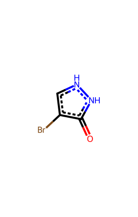 O=c1[nH][nH]cc1Br